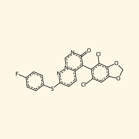 O=c1ncn2nc(Sc3ccc(F)cc3)ccc2c1-c1c(Cl)cc2c(c1Cl)OCO2